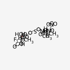 C[C@H](NC(=O)CCN1C(=O)C=CC1=O)C(=O)N[C@@H](C)C(=O)Nc1cccc(SCc2ccc([C@@H]3O[C@@H]4CC5[C@@H]6C[C@H](F)C7=CC(=O)C=C[C@@]78O[C@@H](C[C@]5(C)[C@]4(C(=O)CO)O3)[C@@]68F)cc2)c1